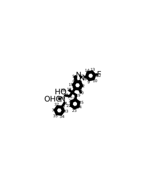 Cc1cc2c(cnn2-c2ccc(F)cc2)cc1C(C)(Cc1ccccc1)CC(O)N(C=O)Cc1ccccc1